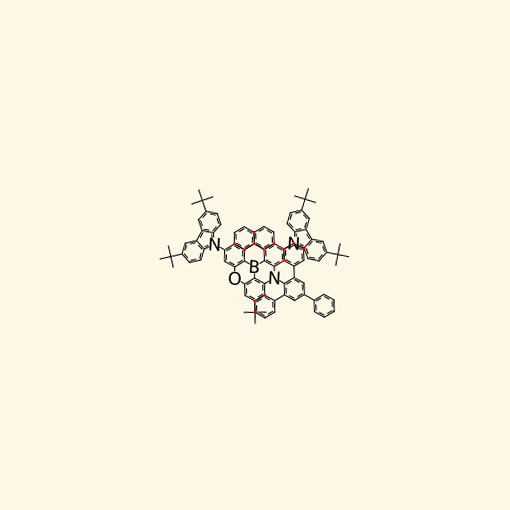 CC(C)(C)c1cc2c3c(c1)N(c1c(-c4ccccc4)cc(-c4ccccc4)cc1-c1ccccc1)c1cc(-n4c5ccc(C(C)(C)C)cc5c5cc(C(C)(C)C)ccc54)cc(-c4ccccc4)c1B3c1c(cc(-n3c4ccc(C(C)(C)C)cc4c4cc(C(C)(C)C)ccc43)cc1-c1ccccc1)O2